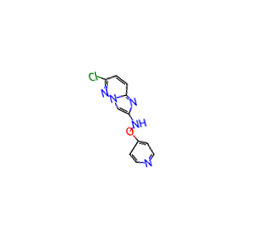 Clc1ccc2nc(NOc3ccncc3)cn2n1